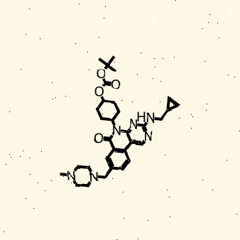 CN1CCN(Cc2ccc3c(c2)c(=O)n(C2CCC(OC(=O)OC(C)(C)C)CC2)c2nc(NCC4CC4)ncc32)CC1